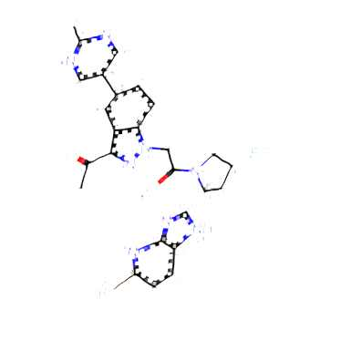 CC(=O)c1nn(CC(=O)N2C[C@H](F)C[C@@H]2c2nc3nc(Br)ccc3[nH]2)c2ccc(-c3cnc(C)nc3)cc12